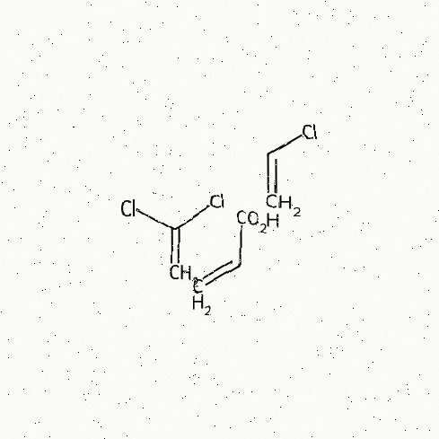 C=C(Cl)Cl.C=CC(=O)O.C=CCl